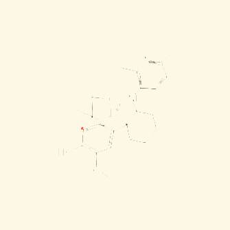 COc1cc(C2(P3(=O)OCC(C)(C)O3)CCCCC2Nc2ccc(C)nc2C)ccc1O